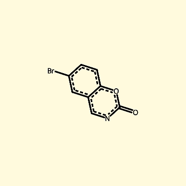 O=c1ncc2cc(Br)ccc2o1